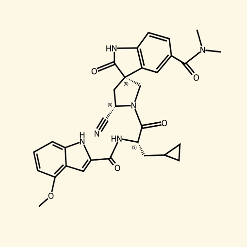 COc1cccc2[nH]c(C(=O)N[C@@H](CC3CC3)C(=O)N3C[C@]4(C[C@H]3C#N)C(=O)Nc3ccc(C(=O)N(C)C)cc34)cc12